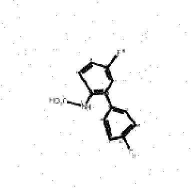 O=C(O)Nc1ccc(F)cc1-c1ccc(F)cc1